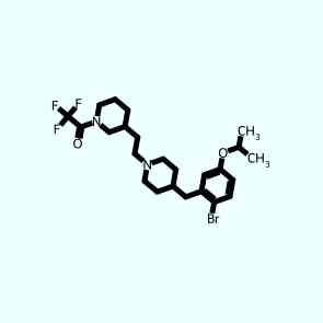 CC(C)Oc1ccc(Br)c(CC2CCN(CCC3CCCN(C(=O)C(F)(F)F)C3)CC2)c1